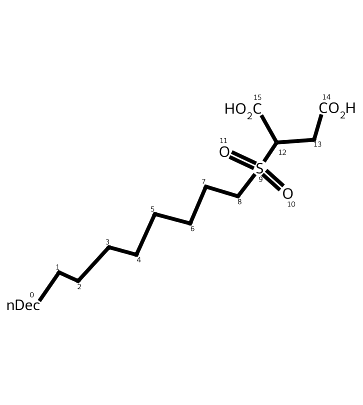 CCCCCCCCCCCCCCCCCCS(=O)(=O)C(CC(=O)O)C(=O)O